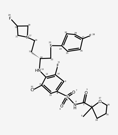 CC1(C(=O)NS(=O)(=O)c2cc(F)c(N[C@H](CCN3CC(F)C3)CSc3ccc(F)cc3)c(Cl)c2)CCCO1